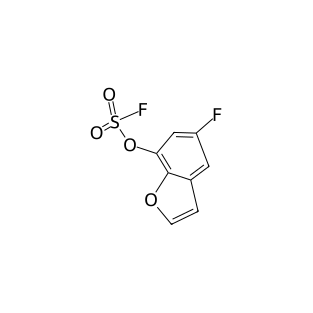 O=S(=O)(F)Oc1cc(F)cc2ccoc12